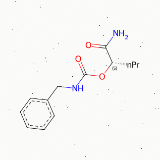 CCC[C@H](OC(=O)NCc1ccccc1)C(N)=O